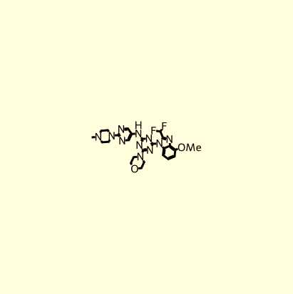 COc1cccc2c1nc(C(F)F)n2-c1nc(Nc2cnc(N3CCN(C)CC3)nc2)nc(N2CCOCC2)n1